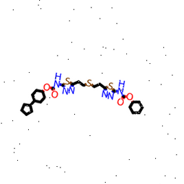 O=C(Nc1nnc(CCSCCc2nnc(NC(=O)OC3CCC(C4CCCC4)CC3)s2)s1)OC1CCCCC1